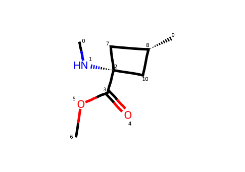 CN[C@]1(C(=O)OC)C[C@H](C)C1